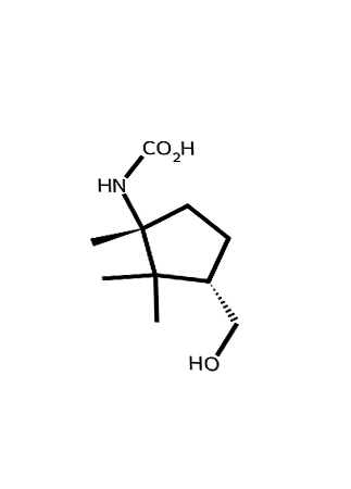 CC1(C)[C@@H](CO)CC[C@@]1(C)NC(=O)O